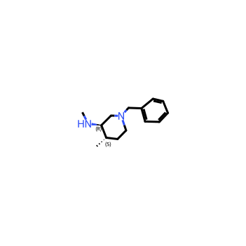 CN[C@H]1CN(Cc2ccccc2)CC[C@@H]1C